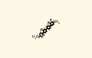 C=CC1CCC(c2ccc(-c3ccc(-c4ccc(C)c(F)c4F)cc3)cc2F)OC1